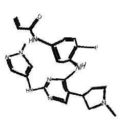 C=CC(=O)Nc1ccc(F)c(Nc2nc(Nc3cnn(C)c3)ncc2C2CCN(C)C2)c1